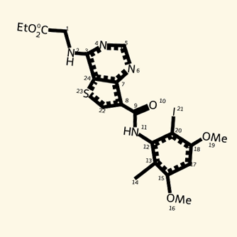 CCOC(=O)CNc1ncnc2c(C(=O)Nc3c(C)c(OC)cc(OC)c3I)csc12